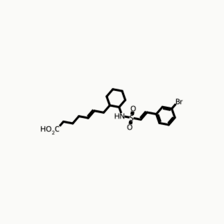 O=C(O)CCCC=CCC1CCCCC1NS(=O)(=O)C=Cc1cccc(Br)c1